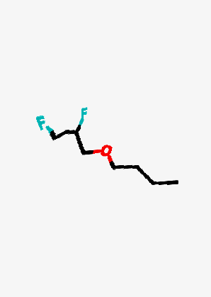 CCCCOCC(F)CF